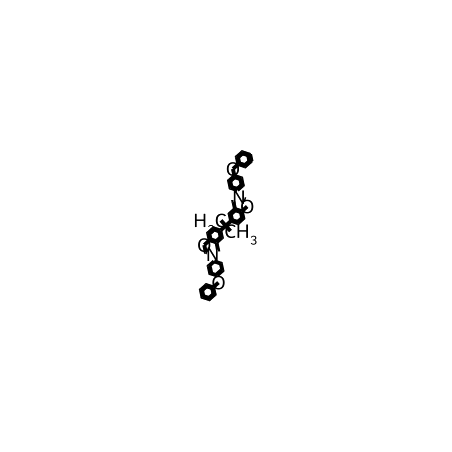 CC(C)(c1ccc2c(c1)CN(c1ccc(Oc3cc#ccc3)cc1)CO2)c1ccc2c(c1)CN(C1C=CC(Oc3ccccc3)=CC1)CO2